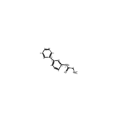 [C-]#[N+]CC(=O)Nc1cccc(-c2ccccc2)c1